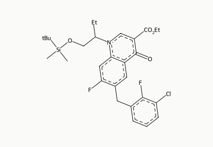 CCOC(=O)c1cn(C(CC)CO[Si](C)(C)C(C)(C)C)c2cc(F)c(Cc3cccc(Cl)c3F)cc2c1=O